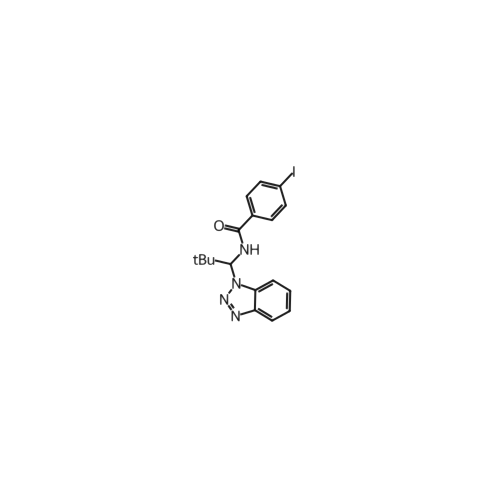 CC(C)(C)C(NC(=O)c1ccc(I)cc1)n1nnc2ccccc21